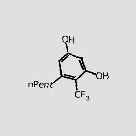 CCCCCc1cc(O)cc(O)c1C(F)(F)F